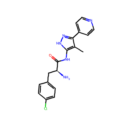 Cc1c(-c2ccncc2)n[nH]c1NC(=O)[C@@H](N)Cc1ccc(Cl)cc1